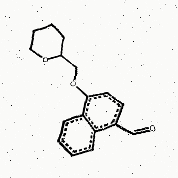 O=Cc1ccc(OCC2CCCCO2)c2ccccc12